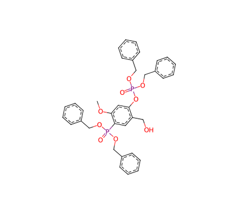 COc1cc(OP(=O)(OCc2ccccc2)OCc2ccccc2)c(CO)cc1P(=O)(OCc1ccccc1)OCc1ccccc1